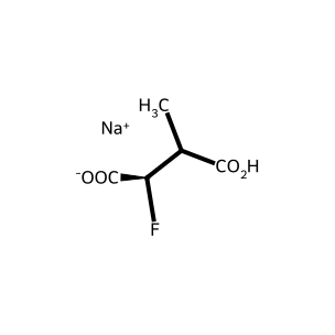 CC(C(=O)O)[C@@H](F)C(=O)[O-].[Na+]